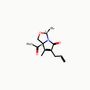 C=CCC1=C(C)[C@]2(C(=O)OC)CO[C@@H](C(C)(C)C)N2C1=O